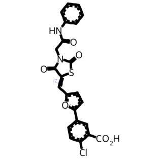 O=C(CN1C(=O)S/C(=C\c2ccc(-c3ccc(Cl)c(C(=O)O)c3)o2)C1=O)Nc1ccccc1